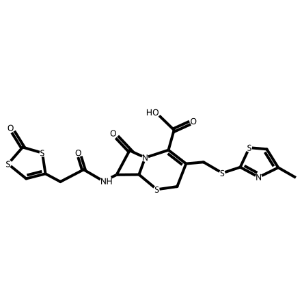 Cc1csc(SCC2=C(C(=O)O)N3C(=O)C(NC(=O)Cc4csc(=O)s4)C3SC2)n1